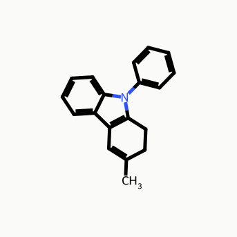 CC1=Cc2c(n(-c3ccccc3)c3ccccc23)CC1